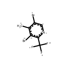 Cc1c(Br)cnc(C(F)(F)F)c1Br